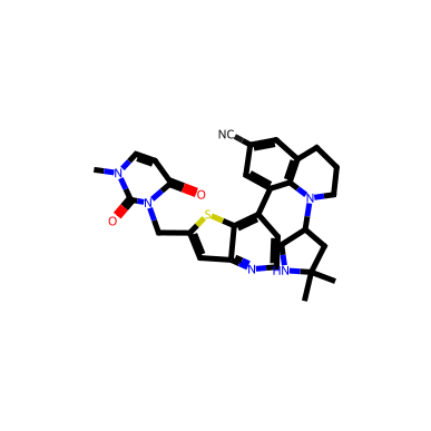 Cn1ccc(=O)n(Cc2cc3nccc(-c4cc(C#N)cc5c4N(C4CNC(C)(C)C4)CCC5)c3s2)c1=O